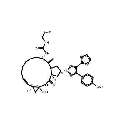 COc1ccc(-c2nn([C@@H]3C[C@H]4C(=O)N[C@]5(C(=O)O)C[C@H]5/C=C\CCCCC[C@H](NC(=O)NCC(=O)O)C(=O)N4C3)nc2-c2nccs2)cc1